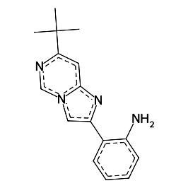 CC(C)(C)c1cc2nc(-c3ccccc3N)cn2cn1